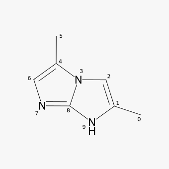 Cc1cn2c(C)cnc2[nH]1